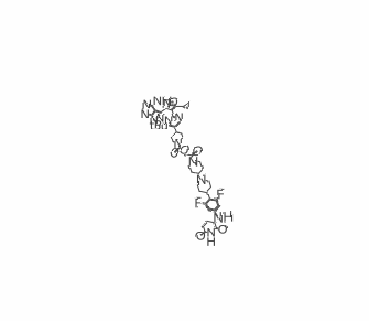 CC(C)(C)n1nc(-c2noc(C3CC3)c2-c2ncc(C3CCN(C(=O)OCC(=O)N4CCC(N5CCC(c6c(F)cc(NC7CCC(=O)NC7=O)cc6F)CC5)CC4)CC3)cn2)c2c(N)ncnc21